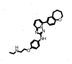 CCNCCOc1ccc(Nc2nc3cccc(-c4ccc5c(c4)CCCCO5)n3n2)cc1